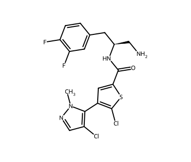 Cn1ncc(Cl)c1-c1cc(C(=O)N[C@H](CN)Cc2ccc(F)c(F)c2)sc1Cl